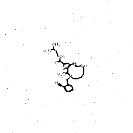 C=C1c2sc(C(=O)NCCC(C)C)cc2/N=C/NCCCCCN1Cc1ccccc1C#N